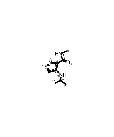 CNC(=O)c1nscc1NC(C)C